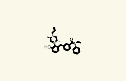 C=CCN1C[C@H](C)N(c2c(O)cccc2Cc2cccc(C(=O)N(CC)c3ccccc3)c2)C[C@H]1C